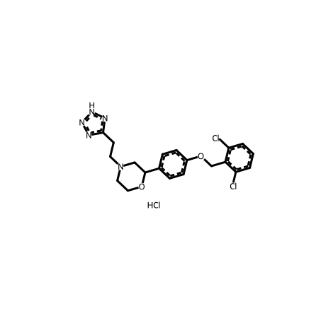 Cl.Clc1cccc(Cl)c1COc1ccc(C2CN(CCc3nn[nH]n3)CCO2)cc1